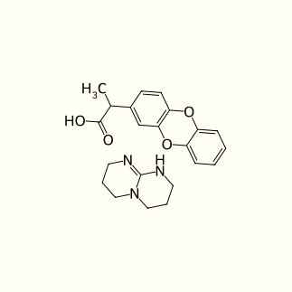 C1CN=C2NCCCN2C1.CC(C(=O)O)c1ccc2c(c1)Oc1ccccc1O2